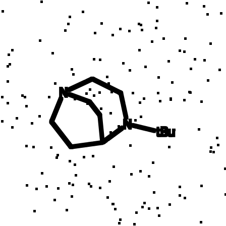 CC(C)(C)N1CCN2CCC1CC2